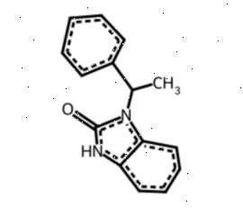 CC(c1ccccc1)n1c(=O)[nH]c2ccccc21